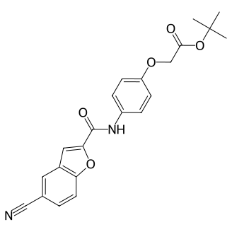 CC(C)(C)OC(=O)COc1ccc(NC(=O)c2cc3cc(C#N)ccc3o2)cc1